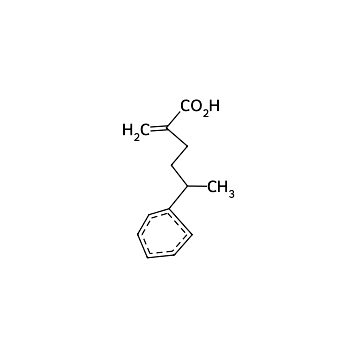 C=C(CCC(C)c1ccccc1)C(=O)O